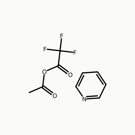 CC(=O)OC(=O)C(F)(F)F.c1ccncc1